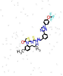 CCCc1ccc(C)cc1N1C(=O)CS/C1=N\C(=S)N/N=C/c1cccc(-c2ncn(-c3ccc(OC(F)(F)F)cc3)n2)c1